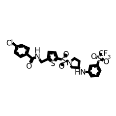 O=C(NCc1ccc(S(=O)(=O)N2CCC(Nc3cccc(S(=O)(=O)C(F)(F)F)c3)C2)s1)c1ccc(Cl)cc1